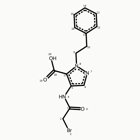 O=C(CBr)Nc1cnn(CCc2ccccc2)c1C(=O)O